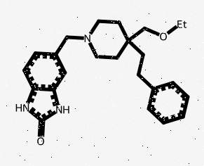 CCOCC1(CCc2ccccc2)CCN(Cc2ccc3[nH]c(=O)[nH]c3c2)CC1